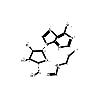 Nc1ncnc2c1ncn2[C@@H]1O[C@H](CO)[C@@H](O)[C@H]1O.O=CNCCI